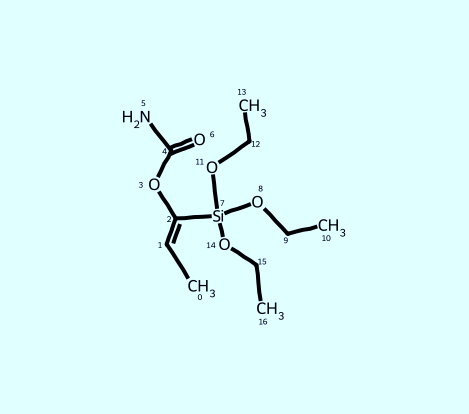 C/C=C(/OC(N)=O)[Si](OCC)(OCC)OCC